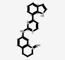 N=S1CCCc2ccc(Nc3nccc(-c4cccc5cc[nH]c45)n3)cc21